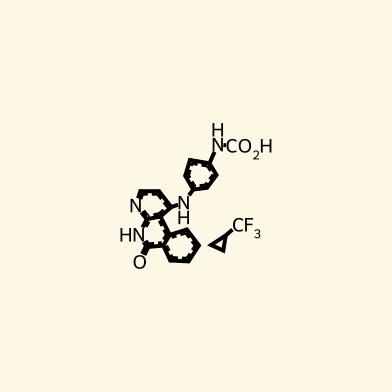 FC(F)(F)C1CC1.O=C(O)Nc1ccc(Nc2ccnc3[nH]c(=O)c4ccccc4c23)cc1